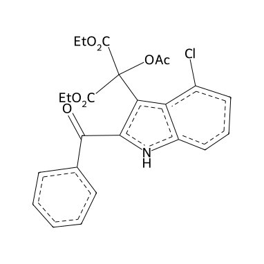 CCOC(=O)C(OC(C)=O)(C(=O)OCC)c1c(C(=O)c2ccccc2)[nH]c2cccc(Cl)c12